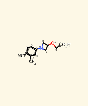 N#Cc1ccc(N2CC(OCC(=O)O)C2)cc1C(F)(F)F